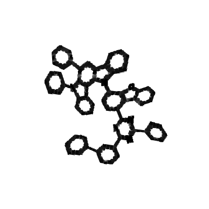 c1ccc(-c2cccc(-c3nc(-c4ccccc4)nc(-c4ccc(-n5c6ccccc6c6cc(-c7ccccc7)c7c(c8ccccc8n7-c7ccccc7)c65)c5oc6ccccc6c45)n3)c2)cc1